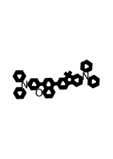 CC1(C)c2cc(-c3ccc4c5c(cccc35)Oc3cc(N(c5ccccc5)c5ccccc5)ccc3-4)ccc2-c2ccc(N(c3ccccc3)c3ccccc3)cc21